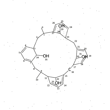 CC1CC2C=CC=C(CC(C)C3C=CC=C(CC4C=CC=C(CC5C=CC=C1C5O)C4O)C3O)C2O